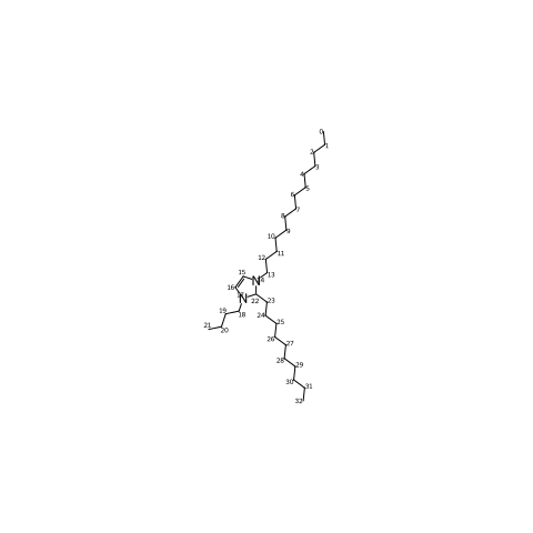 CCCCCCCCCCCCCCN1C=CN(CCCC)C1CCCCCCCCCC